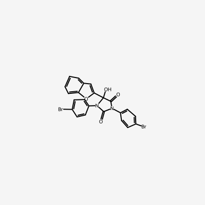 O=C1N(c2ccc(Br)cc2)C(=O)C(O)(c2cc3ccccc3o2)N1c1ccc(Br)cc1